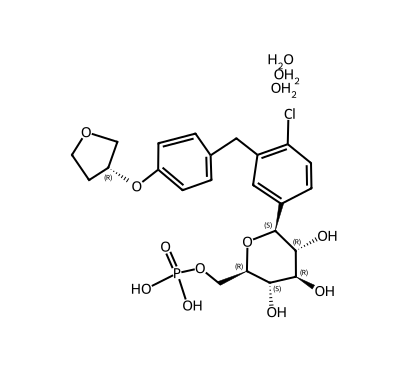 O.O.O.O=P(O)(O)OC[C@H]1O[C@@H](c2ccc(Cl)c(Cc3ccc(O[C@@H]4CCOC4)cc3)c2)[C@H](O)[C@@H](O)[C@@H]1O